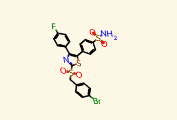 NS(=O)(=O)c1ccc(-c2sc(S(=O)(=O)Cc3ccc(Br)cc3)nc2-c2ccc(F)cc2)cc1